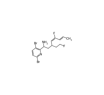 C/C=C/C(F)=C\C(CCF)CC(N)c1nc(Br)ccc1Br